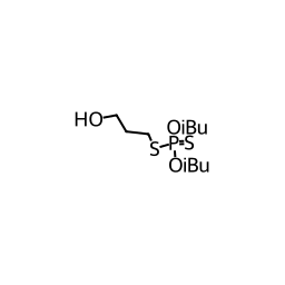 CC(C)COP(=S)(OCC(C)C)SCCCO